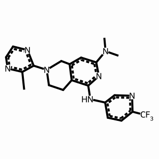 Cc1nccnc1N1CCc2c(cc(N(C)C)nc2Nc2ccc(C(F)(F)F)nc2)C1